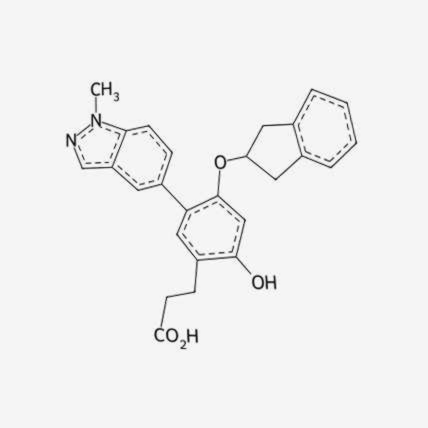 Cn1ncc2cc(-c3cc(CCC(=O)O)c(O)cc3OC3Cc4ccccc4C3)ccc21